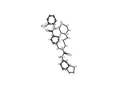 Nc1ccccc1NC(=O)c1ccc(CN(CCCN2CCOCC2)C(=O)Nc2ccc3c(c2)CCC3)cc1